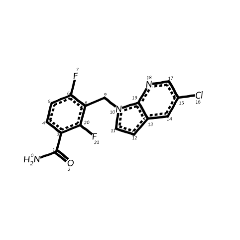 NC(=O)c1ccc(F)c(Cn2ccc3cc(Cl)cnc32)c1F